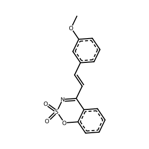 COc1cccc(C=CC2=NS(=O)(=O)Oc3ccccc32)c1